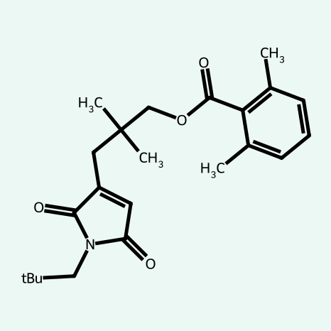 Cc1cccc(C)c1C(=O)OCC(C)(C)CC1=CC(=O)N(CC(C)(C)C)C1=O